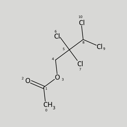 CC(=O)OCC(Cl)(Cl)C(Cl)Cl